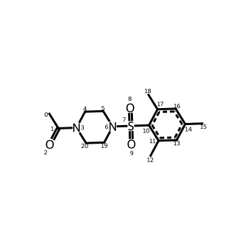 CC(=O)N1CCN(S(=O)(=O)c2c(C)cc(C)cc2C)CC1